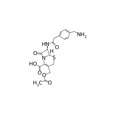 CC(=O)OCC1=C(C(=O)O)N2C(=O)[C@@H](NC(=O)Cc3ccc(CN)cc3)[C@H]2SC1